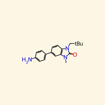 Cn1c(=O)n(CC(C)(C)C)c2ccc(-c3ccc(N)cc3)cc21